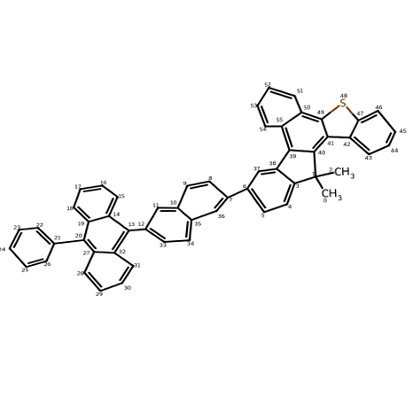 CC1(C)c2ccc(-c3ccc4cc(-c5c6ccccc6c(-c6ccccc6)c6ccccc56)ccc4c3)cc2-c2c1c1c3ccccc3sc1c1ccccc21